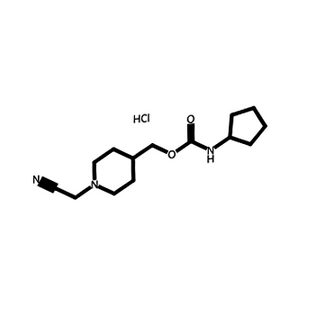 Cl.N#CCN1CCC(COC(=O)NC2CCCC2)CC1